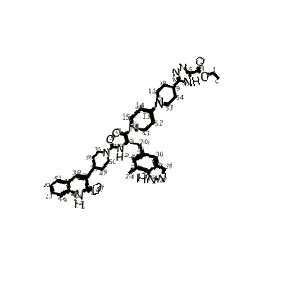 CCOC(=O)c1nnc(C2CCN(C3CCN(C(=O)[C@@H](Cc4cc(C)c5[nH]ncc5c4)NC(=O)N4CCC(c5cc6ccccc6[nH]c5=O)CC4)CC3)CC2)[nH]1